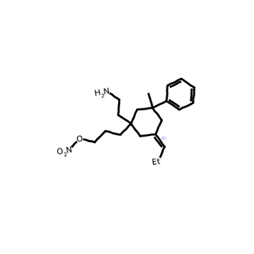 CC/C=C1\CC(CCN)(CCCO[N+](=O)[O-])CC(C)(c2ccccc2)C1